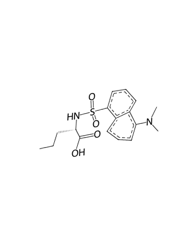 CCC[C@H](NS(=O)(=O)c1cccc2c(N(C)C)cccc12)C(=O)O